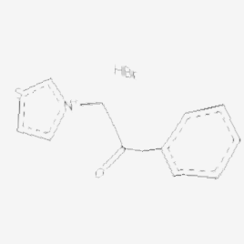 Br.O=C(C[n+]1ccsc1)c1ccccc1